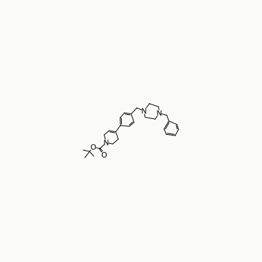 CC(C)(C)OC(=O)N1CC=C(c2ccc(CN3CCN(Cc4ccccc4)CC3)cc2)CC1